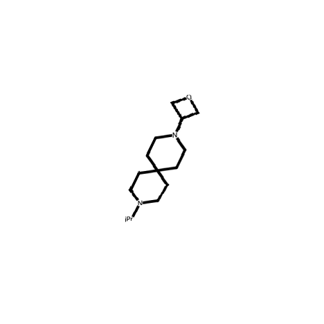 CC(C)N1CCC2(CC1)CCN(C1COC1)CC2